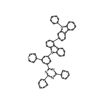 c1ccc(-c2cc(-c3nc(-c4ccccc4)nc(-c4ccccc4)n3)cc(-n3c4ccccc4c4c(-c5ccc6c7ccccc7n(-c7ccccc7)c6c5)cccc43)c2)cc1